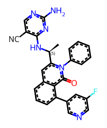 C[C@H](Nc1nc(N)ncc1C#N)c1cc2cccc(-c3cncc(F)c3)c2c(=O)n1-c1ccccc1